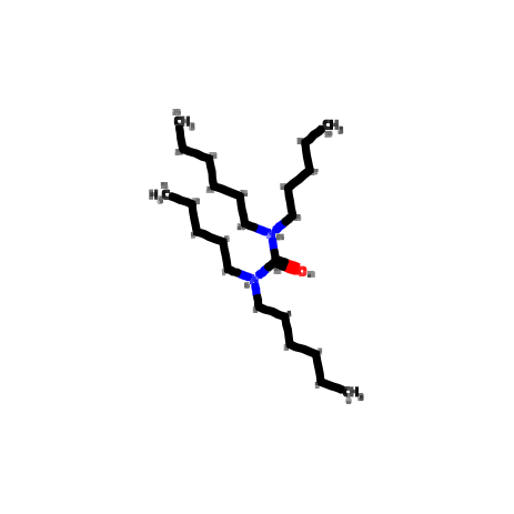 CCCCCCN(CCCCC)C(=O)N(CCCCC)CCCCCC